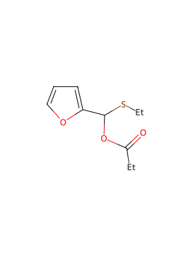 CCSC(OC(=O)CC)c1ccco1